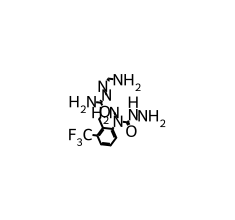 N/C=N\N=C(/N)OCc1c(N(N)C(=O)NN)cccc1C(F)(F)F